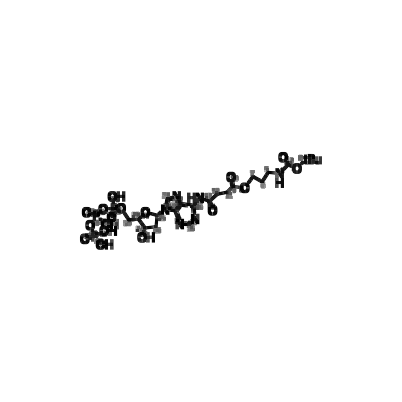 CC(C)(C)OC(=O)NCCCOC(=O)CCC(=O)Nc1ncnc2c1ncn2[C@H]1C[C@@H](O)[C@@H](COP(=O)(O)OP(=O)(O)OP(=O)(O)O)O1